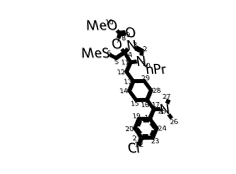 CCCN1C=NC(CSC)(OC(=O)OC)C1CC1CCC(C(c2ccc(Cl)cc2)N(C)C)CC1